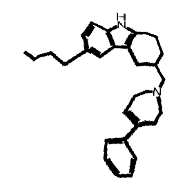 CCCCc1ccc2[nH]c3c(c2c1)CC(CN1CC=C(c2ccccc2)CC1)CC3